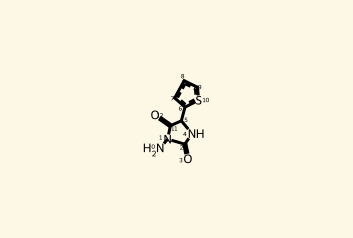 NN1C(=O)NC(c2cccs2)C1=O